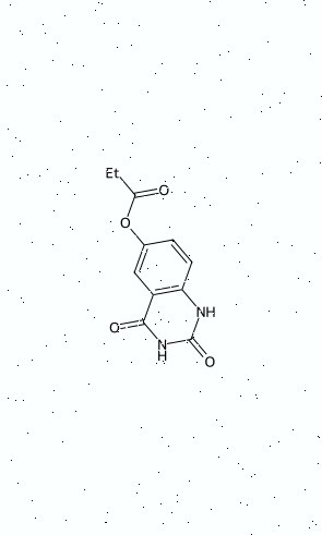 CCC(=O)Oc1ccc2[nH]c(=O)[nH]c(=O)c2c1